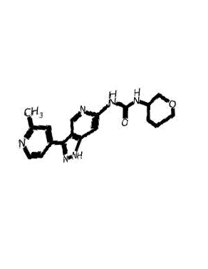 Cc1cc(-c2n[nH]c3cc(NC(=O)NC4CCCOC4)ncc23)ccn1